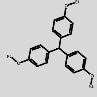 CCOc1ccc(C(c2ccc(OCC)cc2)c2ccc(OCC)cc2)cc1